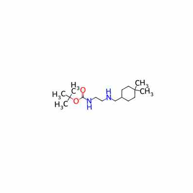 CC1(C)CCC(CNCCNC(=O)OC(C)(C)C)CC1